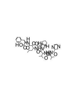 CCCC(NC(=O)[C@@H]1[C@H]2CCC[C@H]2CN1C(=O)C(NC(=O)[C@H](NC(=O)c1cnccn1)C(C)C)C(C)C)C(=O)C(=O)N[C@H](Cc1ccccc1)C(=O)O